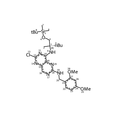 CCCC[C@](C)(CO[Si](C)(C)C(C)(C)C)Nc1nc(Cl)nc2cnc(NCc3ccc(OC)cc3OC)nc12